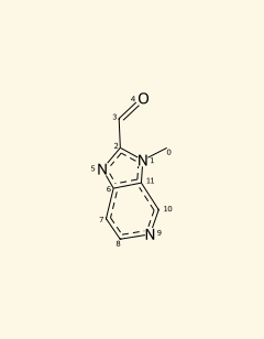 Cn1c(C=O)nc2ccncc21